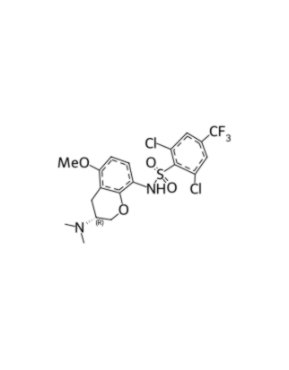 COc1ccc(NS(=O)(=O)c2c(Cl)cc(C(F)(F)F)cc2Cl)c2c1C[C@@H](N(C)C)CO2